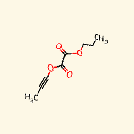 CC#COC(=O)C(=O)OCCC